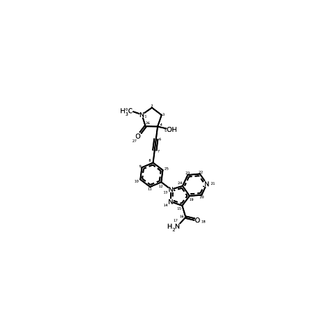 CN1CCC(O)(C#Cc2cccc(-n3nc(C(N)=O)c4cnccc43)c2)C1=O